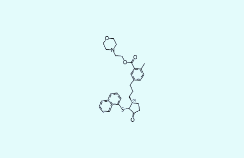 Cc1ccc(CCC[C@H]2CCC(=O)C2Sc2cccc3ccccc23)cc1C(=O)OCCN1CCOCC1